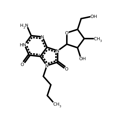 CCCCn1c(=O)n(C2OC(CO)C(C)C2O)c2nc(N)[nH]c(=O)c21